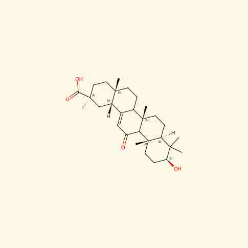 CC1(C)[C@@H](O)CC[C@]2(C)C3C(=O)C=C4C(CC[C@@]5(C)CC[C@](C)(C(=O)O)C[C@@H]45)[C@]3(C)CC[C@@H]12